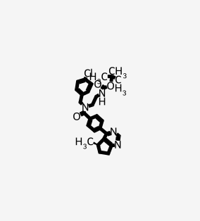 C[C@@H]1CCc2ncnc(-c3ccc(C(=O)N(CCNC(=O)OC(C)(C)C)Cc4ccc(Cl)cc4)cc3)c21